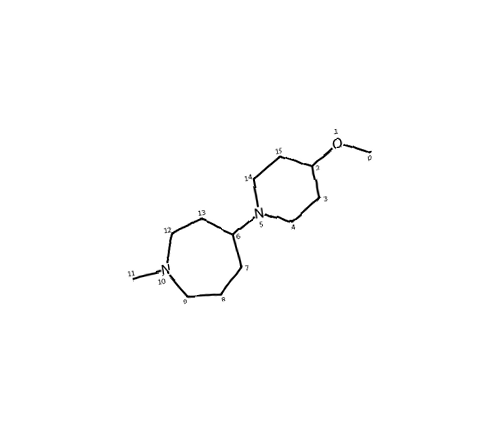 COC1CCN(C2CCCN(C)CC2)CC1